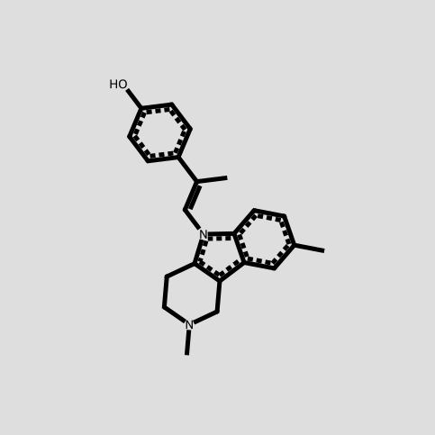 CC(=Cn1c2c(c3cc(C)ccc31)CN(C)CC2)c1ccc(O)cc1